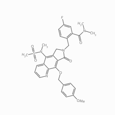 COc1ccc(COc2c3c(c(N(C)S(C)(=O)=O)c4cccnc24)CN(Cc2ccc(F)cc2C(=O)N(C)C)C3=O)cc1